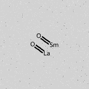 [O]=[La].[O]=[Sm]